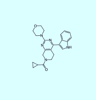 O=C(C1CC1)N1CCc2c(nc(N3CCOCC3)nc2-c2c[nH]c3ccccc23)C1